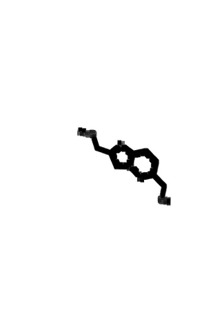 COCc1cn2nc(CO)ccc2n1